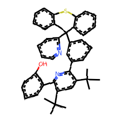 CC(C)(C)c1cc(C(C)(C)C)c(-c2ccccc2O)nc1-c1cccc(C2(c3ccccn3)c3ccccc3Sc3ccccc32)c1